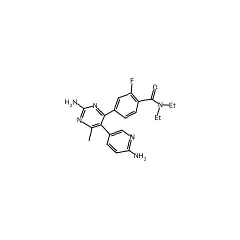 CCN(CC)C(=O)c1ccc(-c2nc(N)nc(C)c2-c2ccc(N)nc2)cc1F